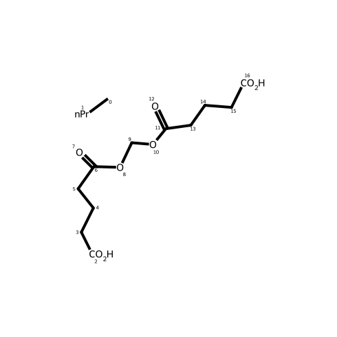 CCCC.O=C(O)CCCC(=O)OCOC(=O)CCCC(=O)O